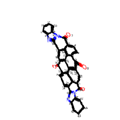 O=c1c2ccc3c(=O)n4c5ccccc5nc4c4cc5c(=O)c6ccc7c8c(cc1c(c68)c5c2c34)c(=O)n1c2c(nc71)=CCCC=2